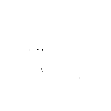 CC(=O)O[C@@H]1CC[C@]2(CO2)[C@@H]([C@]2(C)OC2CC=C(C)C)[C@@H]1O